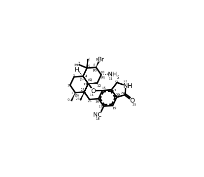 C[C@H]1CC[C@H]2C(C)(C)[C@@H](Br)[C@H](N)C[C@]23Oc2c(c(C#N)cc4c2CNC4=O)C[C@]13C